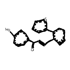 O=C(C=Cc1ccccc1-c1cccs1)c1ccc(O)cc1